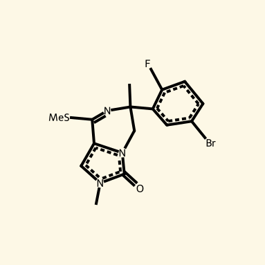 CSC1=NC(C)(c2cc(Br)ccc2F)Cn2c1cn(C)c2=O